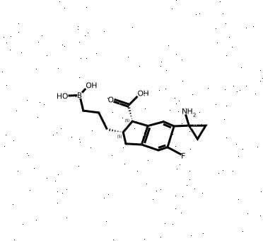 NC1(c2cc3c(cc2F)C[C@H](CCCB(O)O)[C@@H]3C(=O)O)CC1